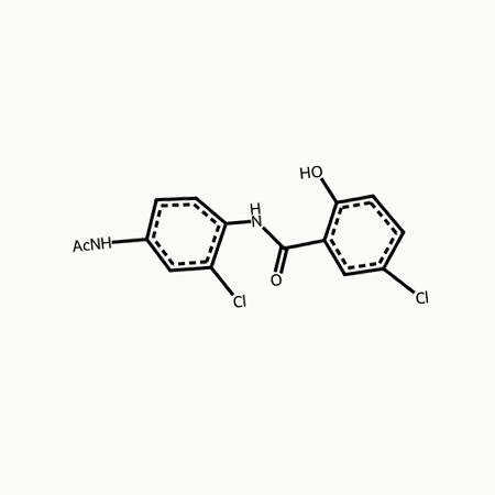 CC(=O)Nc1ccc(NC(=O)c2cc(Cl)ccc2O)c(Cl)c1